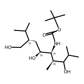 CC(C)C(O)[C@@H](C)[C@H](NC(=O)OC(C)(C)C)[C@@H](O)C[C@H](CO)C(C)C